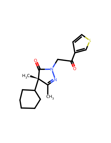 CC1=NN(CC(=O)c2ccsc2)C(=O)[C@@]1(C)C1CCCCC1